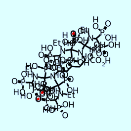 CCN(C(P(=O)(O)O)P(=O)(O)O)C(N(CCCC[C@@H](C(=O)O)N(C(N(CC)C(P(=O)(O)O)P(=O)(O)O)(P(=O)(O)O)P(=O)(O)O)C(N(CC)C(P(=O)(O)O)P(=O)(O)O)(P(=O)(O)O)P(=O)(O)O)C(N(CC)C(P(=O)(O)O)P(=O)(O)O)(P(=O)(O)O)P(=O)(O)O)(P(=O)(O)O)P(=O)(O)O